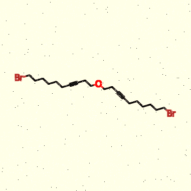 BrCCCCCCC#CCCOCCC#CCCCCCCBr